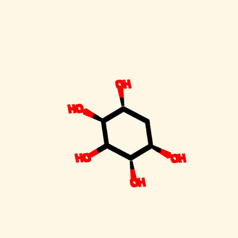 OC1[C@@H](O)[C@H](O)C[C@@H](O)[C@@H]1O